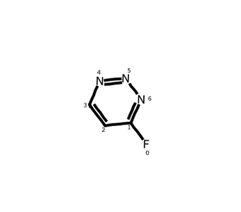 Fc1c[c]nnn1